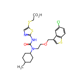 CC1CCC(N(CCOCc2csc3ccc(Cl)cc23)C(=O)Nc2ncc(SCC(=O)O)s2)CC1